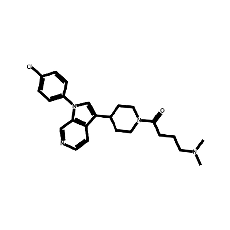 CN(C)CCCC(=O)N1CCC(c2cn(-c3ccc(Cl)cc3)c3cnccc23)CC1